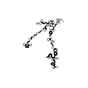 COC(=O)c1cccc(Cc2nc(-c3cccc(C)n3)c(-c3ccc4ncc(OCCNC(=O)OCc5ccc(NC(=O)[C@H](CCCNC(N)=O)NC(=O)[C@@H](NC(=O)[C@H](CCC(=O)O)NCC(C=O)COCCOCCOCCOCCN6C(=O)C=CC6=O)C(C)C)cc5)nc4c3)[nH]2)c1